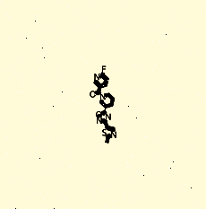 Cc1ncc(-c2noc([C@H]3CCCN(C(=O)c4ccc(F)nc4)C3)n2)s1